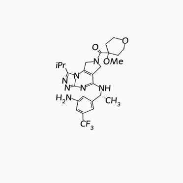 COC1(C(=O)N2Cc3c(N[C@H](C)c4cc(N)cc(C(F)(F)F)c4)nc4nnc(C(C)C)n4c3C2)CCOCC1